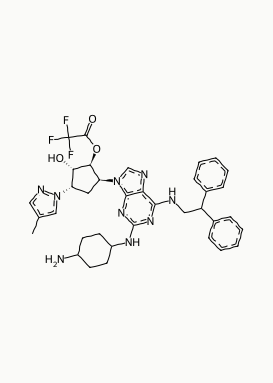 Cc1cnn([C@H]2C[C@H](n3cnc4c(NCC(c5ccccc5)c5ccccc5)nc(NC5CCC(N)CC5)nc43)[C@H](OC(=O)C(F)(F)F)[C@H]2O)c1